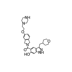 O=C(c1cc2c(CC3CCOCC3)n[nH]c2cc1O)N1Cc2ccc(OCCN3CCNCC3)cc2C1